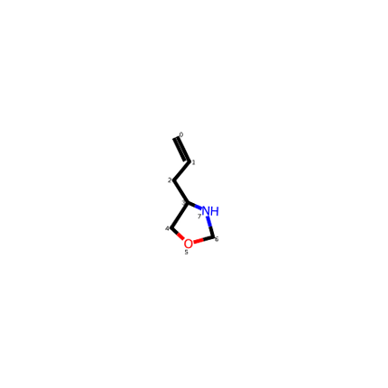 C=CCC1COCN1